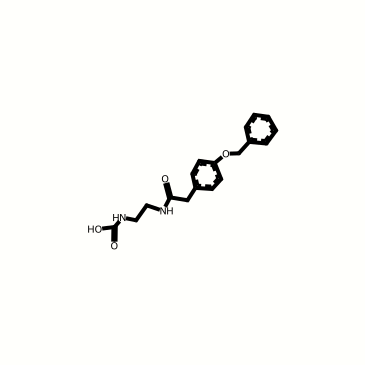 O=C(O)NCCNC(=O)Cc1ccc(OCc2ccccc2)cc1